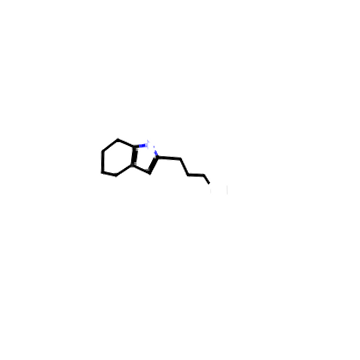 CCCCC1=CC2=C(CCCC2)[N]1